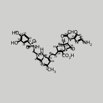 CC1=NC2=CN(CNS(=O)(=O)c3ccc(O)c(O)c3)NN2C(SCC2=C(C(=O)O)N3C(=O)[C@@H](N(C(=O)C=O)c4csc(N)n4)[C@H]3SC2)=C1